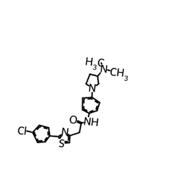 CN(C)C1CCN(c2ccc(NC(=O)Cc3csc(-c4ccc(Cl)cc4)n3)cc2)C1